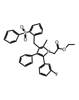 CCOC(=O)Cn1c(C)c(Cc2ccccc2S(=O)(=O)c2ccccc2)c(-c2ccccc2)c1-c1cccc(F)c1